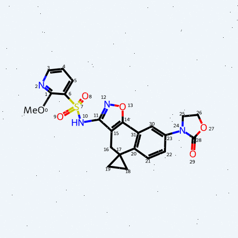 COc1ncccc1S(=O)(=O)Nc1noc2c1CC1(CC1)c1ccc(N3CCOC3=O)cc1-2